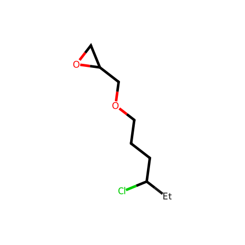 [CH2]CC(Cl)CCCOCC1CO1